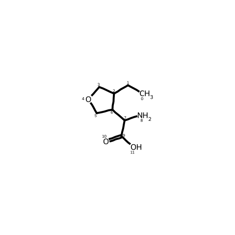 CCC1COCC1C(N)C(=O)O